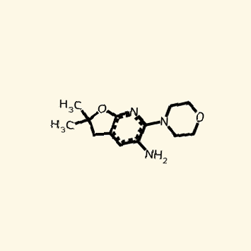 CC1(C)Cc2cc(N)c(N3CCOCC3)nc2O1